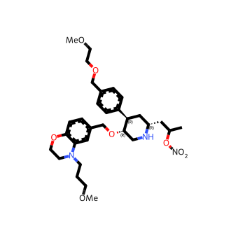 COCCCN1CCOc2ccc(CO[C@H]3CN[C@@H](CC(C)O[N+](=O)[O-])C[C@@H]3c3ccc(COCCOC)cc3)cc21